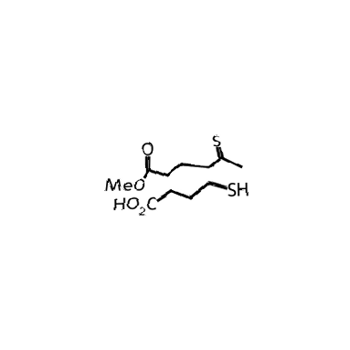 COC(=O)CCCC(C)=S.O=C(O)CCCS